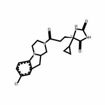 O=C1NC(=O)[C@](CCC(=O)N2CCN3c4ccc(Cl)cc4CC3C2)(C2CC2)N1